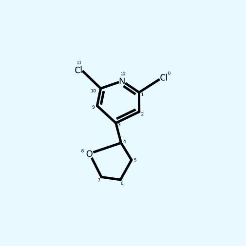 Clc1cc([C]2CCCO2)cc(Cl)n1